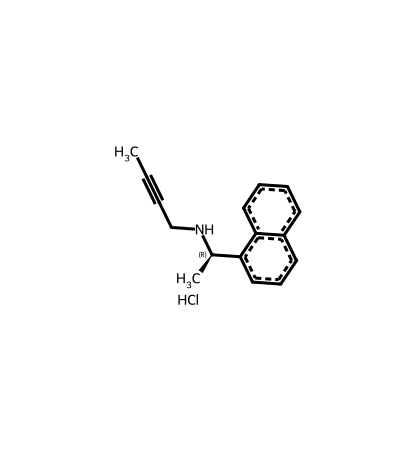 CC#CCN[C@H](C)c1cccc2ccccc12.Cl